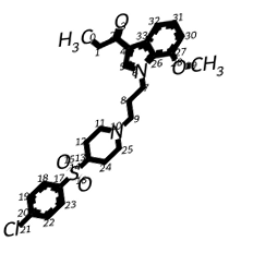 CCC(=O)c1cn(CCCN2CCC(S(=O)(=O)c3ccc(Cl)cc3)CC2)c2c(OC)cccc12